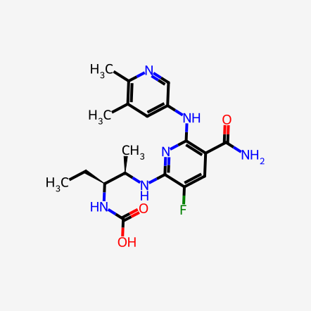 CC[C@H](NC(=O)O)[C@@H](C)Nc1nc(Nc2cnc(C)c(C)c2)c(C(N)=O)cc1F